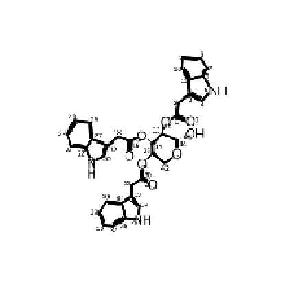 O=C(Cc1c[nH]c2ccccc12)O[C@@H]1[C@@H](OC(=O)Cc2c[nH]c3ccccc23)[C@H](OC(=O)Cc2c[nH]c3ccccc23)CO[C@H]1O